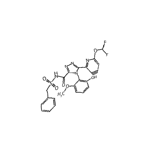 COc1cccc(O)c1-n1c(C(=O)NS(=O)(=O)Cc2ccccc2)nnc1-c1c#ccc(OC(F)F)n1